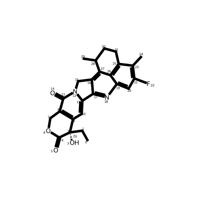 CC[C@@]1(O)C(=O)OCc2c1cc1n(c2=O)Cc2c-1nc1cc(F)c(C)c3c1c2C(C)CC3